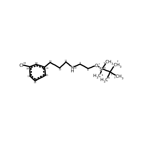 CC(C)(C)[Si](C)(C)OCCNCCCc1cccc(Cl)c1